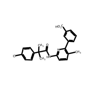 Cc1ccc(NC(=O)C(C)(C)c2ccc(Cl)cc2)nc1-c1cccc(C(=O)O)c1